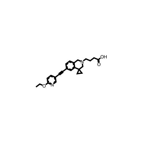 CCOc1ccc(C#Cc2ccc3c(c2)C2(CC2)CN(CCCC(=O)O)C3)cn1